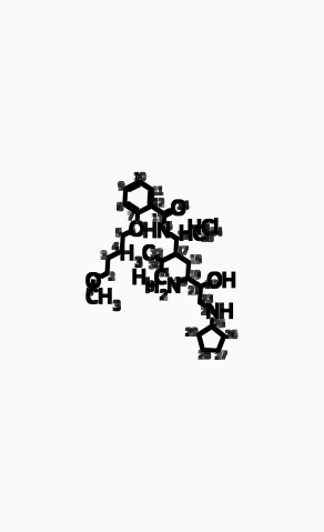 COCCCCOc1ccccc1C(=O)NCC(CC(N)C(O)CNC1CCCC1)C(C)C.Cl.Cl